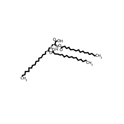 CCCCCCCCCCCCCCCC[C@@H](CSC[C@H](NOC(=O)CCCCCCCCCCCCCCC)C(=O)O)OC(=O)CCCCCCCCCCCCCCC